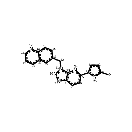 Cc1ccc(-c2ccc3nnn(Cc4ccc5ncccc5c4)c3n2)s1